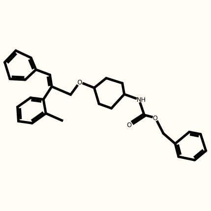 Cc1ccccc1/C(=C\c1ccccc1)COC1CCC(NC(=O)OCc2ccccc2)CC1